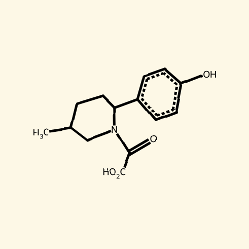 CC1CCC(c2ccc(O)cc2)N(C(=O)C(=O)O)C1